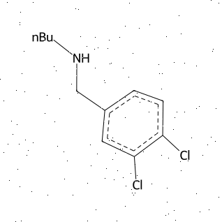 CCCCNCc1ccc(Cl)c(Cl)c1